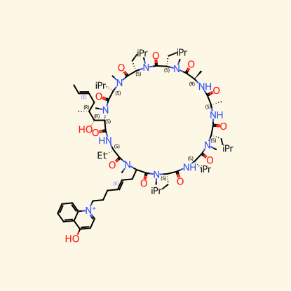 C/C=C/C[C@@H](C)[C@@H](O)[C@H]1C(=O)N[C@@H](CC)C(=O)N(C)C(C/C=C/CCC[n+]2ccc(O)c3ccccc32)C(=O)N(C)[C@@H](CC(C)C)C(=O)N[C@@H](C(C)C)C(=O)N(C)[C@@H](CC(C)C)C(=O)N[C@@H](C)C(=O)N[C@H](C)C(=O)N(C)[C@@H](CC(C)C)C(=O)N(C)[C@@H](CC(C)C)C(=O)N(C)[C@@H](C(C)C)C(=O)N1C